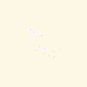 C[C@@]1(c2cccc(NC(=O)c3cccc(C#N)c3)c2Cl)CC(=O)NC(=N)N1